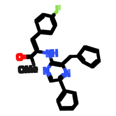 COC(=O)C(=Cc1ccc(F)cc1)Nc1ncc(-c2ccccc2)nc1Cc1ccccc1